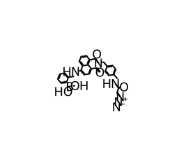 [N-]=[N+]=NCC(=O)NCc1ccc(CN2C(=O)c3cccc4c(NCc5ccccc5B(O)O)ccc(c34)C2=O)cc1